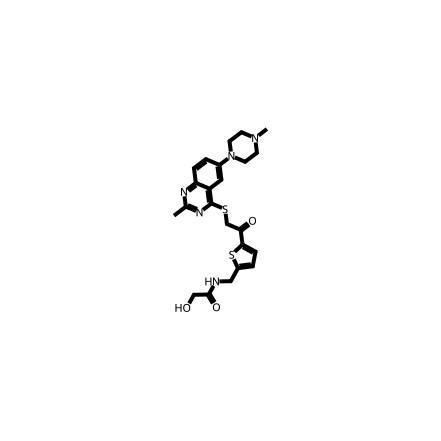 Cc1nc(SCC(=O)c2ccc(CNC(=O)CO)s2)c2cc(N3CCN(C)CC3)ccc2n1